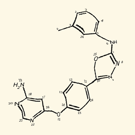 Cc1cccc(Nc2nnc(-c3ccc(Oc4cc(N)ncn4)cc3)o2)c1